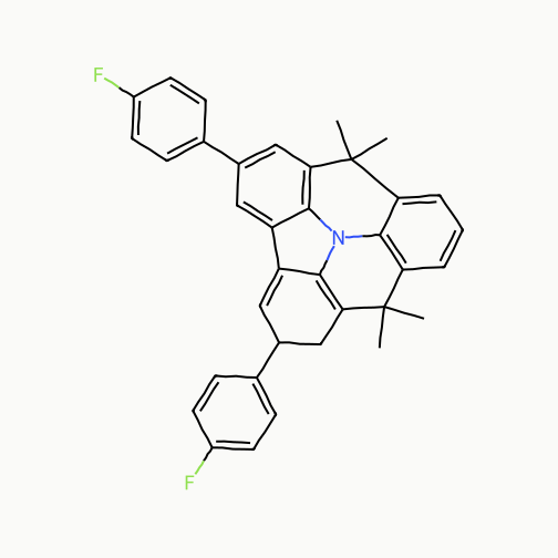 CC1(C)C2=c3c(c4cc(-c5ccc(F)cc5)cc5c4n3-c3c1cccc3C5(C)C)=CC(c1ccc(F)cc1)C2